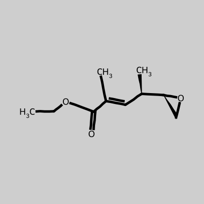 CCOC(=O)/C(C)=C/[C@@H](C)[C@@H]1CO1